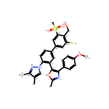 Cc1nc(-c2ccc(OC(F)(F)F)cc2)c(-c2cc(-c3cc(F)c(CO)c(S(C)(=O)=O)c3)ccc2-n2cc(C)c(C(F)(F)F)n2)o1